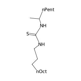 CCCCCCCCCCCNC(=S)NC(C)CCCCC